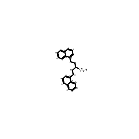 O=C(O)C(CCc1cccc2ccccc12)CCc1cccc2ccccc12